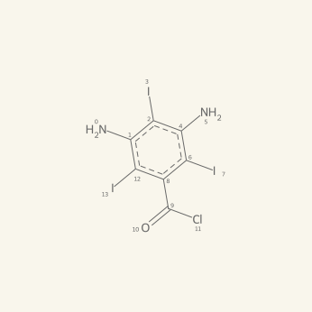 Nc1c(I)c(N)c(I)c(C(=O)Cl)c1I